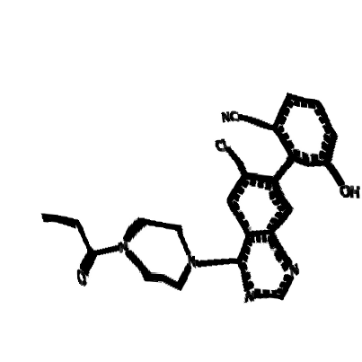 C=CC(=O)N1CCN(c2ncnc3cc(-c4c(O)cccc4C#N)c(Cl)cc23)CC1